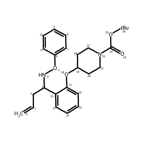 C=CCC(NOc1ccccc1)c1ccccc1OC1CCN(C(=O)OC(C)(C)C)CC1